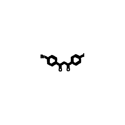 O=C(CC(=O)c1ccc(I)cc1)c1ccc(Br)cc1